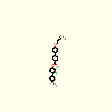 CCCCOc1ccc(C2CCC(C(=O)Oc3ccc(-c4ccc(C)cc4)c(F)c3F)CC2)c(F)c1